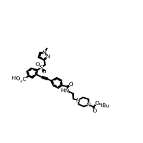 Cn1ccc(CS(=O)(=O)c2ccc(C(=O)O)cc2C#Cc2ccc(C(=O)NCCN3CCN(C(=O)OC(C)(C)C)CC3)cc2)n1